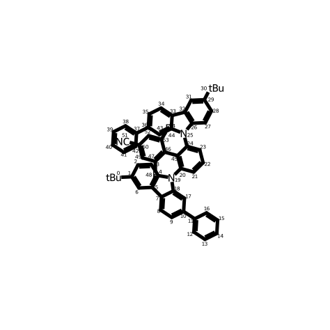 CC(C)(C)c1ccc2c(c1)c1ccc(-c3ccccc3)cc1n2-c1cccc(-n2c3ccc(C(C)(C)C)cc3c3ccc(-c4ccccc4)cc32)c1-c1c(F)cc(C#N)cc1F